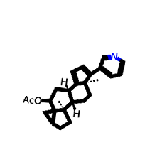 CC(=O)OC1C[C@H]2C3=CC=C(c4cccnc4)[C@@]3(C)CC[C@@H]2[C@@]2(C)CCC3CC312